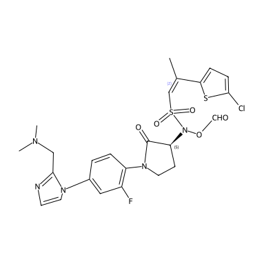 C/C(=C/S(=O)(=O)N(OC=O)[C@H]1CCN(c2ccc(-n3ccnc3CN(C)C)cc2F)C1=O)c1ccc(Cl)s1